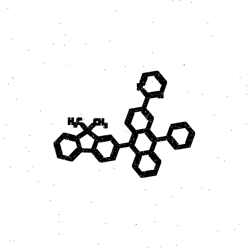 CC1(C)c2ccccc2-c2ccc(-c3c4ccccc4c(-c4ccccc4)c4cc(-c5ncccn5)ccc34)cc21